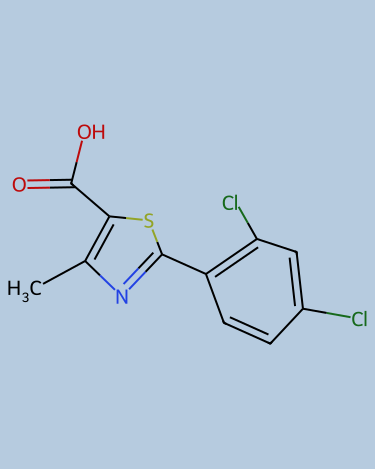 Cc1nc(-c2ccc(Cl)cc2Cl)sc1C(=O)O